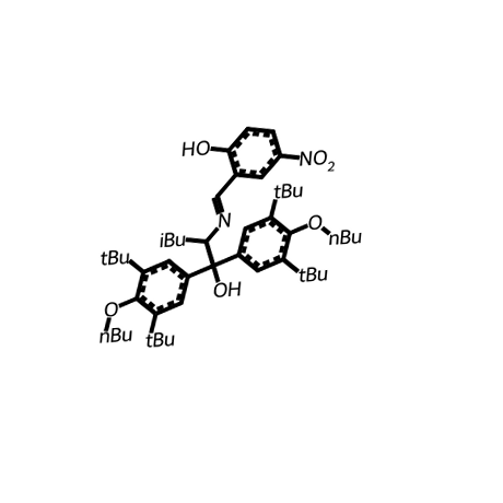 CCCCOc1c(C(C)(C)C)cc(C(O)(c2cc(C(C)(C)C)c(OCCCC)c(C(C)(C)C)c2)C(N=Cc2cc([N+](=O)[O-])ccc2O)C(C)CC)cc1C(C)(C)C